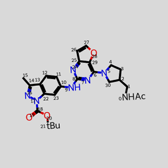 CC(=O)NCC1CCN(c2nc(Nc3ccc4c(C)nn(C(=O)OC(C)(C)C)c4c3)nc3ccoc23)C1